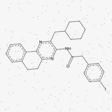 O=C(Cc1ccc(I)cc1)Nc1nc2c(nc1CC1CCCCC1)-c1ccccc1CC2